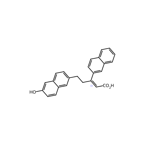 O=C(O)/C=C(/CCc1ccc2cc(O)ccc2c1)c1ccc2ccccc2c1